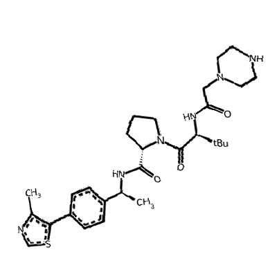 Cc1ncsc1-c1ccc([C@H](C)NC(=O)[C@@H]2CCCN2C(=O)[C@@H](NC(=O)CN2CCNCC2)C(C)(C)C)cc1